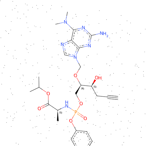 C#CC[C@H](O)[C@@H](COP(=O)(N[C@@H](C)C(=O)OC(C)C)Oc1ccccc1)OCn1cnc2c(N(C)C)nc(N)nc21